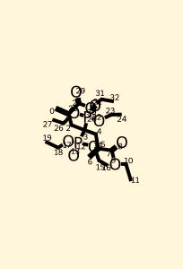 C=C(CC(CC(=C)C(=O)OCC)(P(=O)(OCC)OCC)P(=O)(OCC)OCC)C(=O)OCC